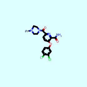 CC(C)N1CCN(C(=O)c2ccc(Oc3ccc(Cl)c(Cl)c3)c(C(N)=O)n2)CC1